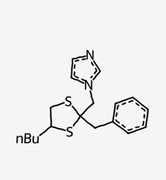 CCCCC1CSC(Cc2ccccc2)(Cn2ccnc2)S1